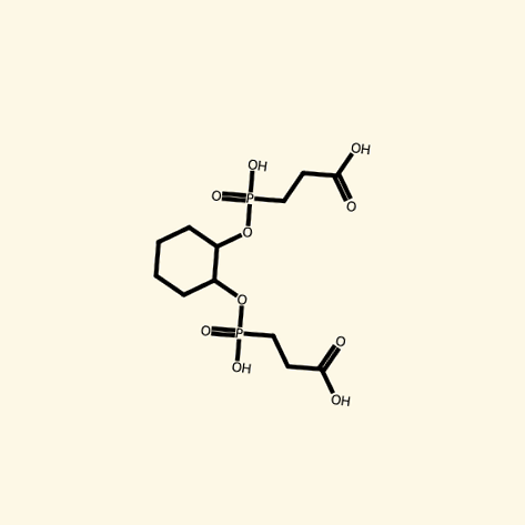 O=C(O)CCP(=O)(O)OC1CCCCC1OP(=O)(O)CCC(=O)O